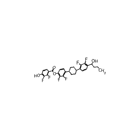 CCCC(O)c1ccc(C2CCC(c3ccc(OC(=O)c4ccc(O)c(F)c4F)c(F)c3F)CC2)c(F)c1F